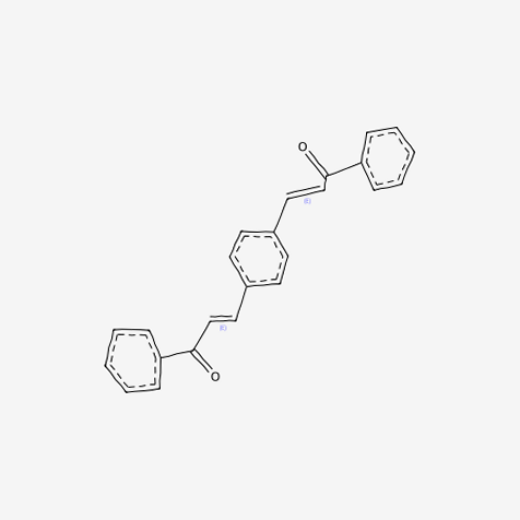 O=C(/C=C/c1ccc(/C=C/C(=O)c2ccccc2)cc1)c1ccccc1